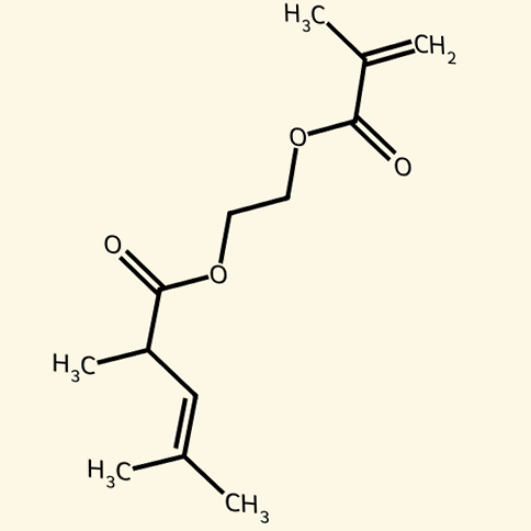 C=C(C)C(=O)OCCOC(=O)C(C)C=C(C)C